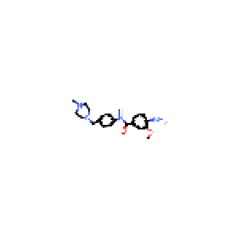 COc1cc(C(=O)Nc2ccc(CN3CCN(C)CC3)cc2)ccc1N